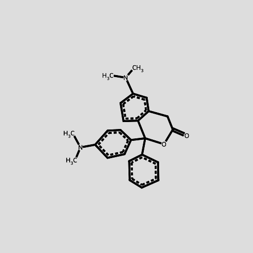 CN(C)c1ccc(C2(c3ccccc3)OC(=O)Cc3cc(N(C)C)ccc32)cc1